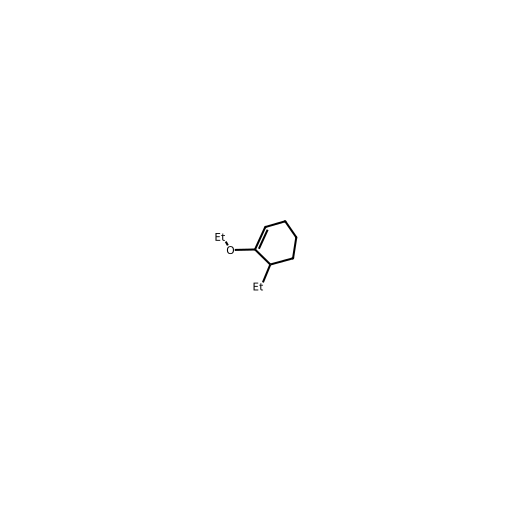 CCOC1=CCCCC1CC